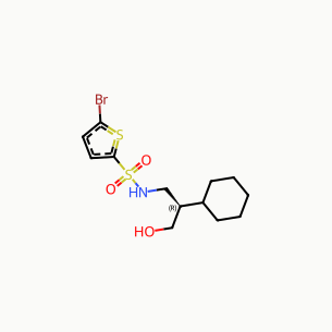 O=S(=O)(NC[C@H](CO)C1CCCCC1)c1ccc(Br)s1